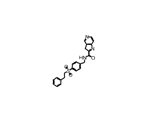 O=C(NCc1ccc(S(=O)(=O)CCc2ccccc2)cc1)C1=Nc2ccncc2C1